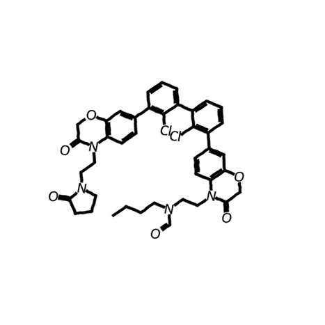 CCCCN(C=O)CCN1C(=O)COc2cc(-c3cccc(-c4cccc(-c5ccc6c(c5)OCC(=O)N6CCN5CCCC5=O)c4Cl)c3Cl)ccc21